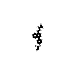 C=CC(=O)Oc1ccc(-c2ccc(CCC(=O)C(=C)C)c3ccccc23)cc1